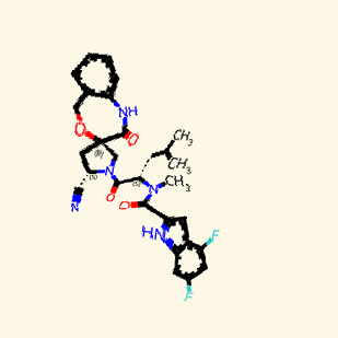 CC(C)C[C@@H](C(=O)N1C[C@@]2(C[C@H]1C#N)OCc1ccccc1NC2=O)N(C)C(=O)c1cc2c(F)cc(F)cc2[nH]1